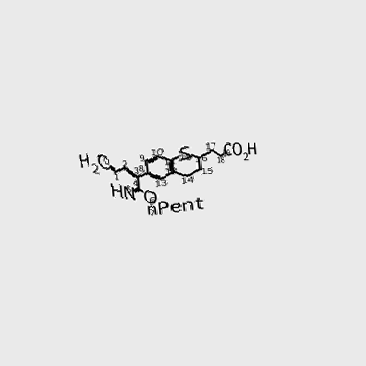 C=C/C=C(\C(=N)OCCCCC)c1ccc2c(c1)CCC(CCC(=O)O)S2